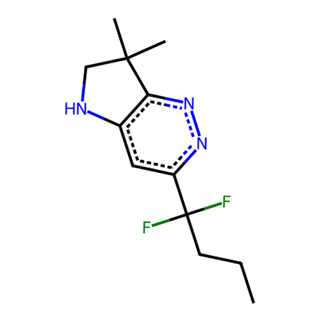 CCCC(F)(F)c1cc2c(nn1)C(C)(C)CN2